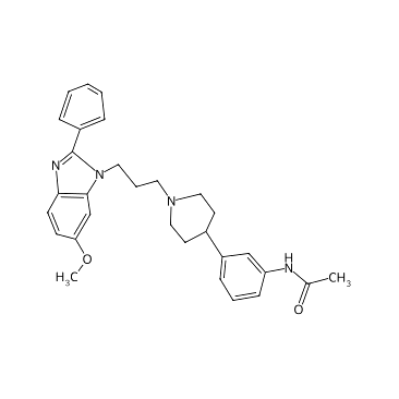 COc1ccc2nc(-c3ccccc3)n(CCCN3CCC(c4cccc(NC(C)=O)c4)CC3)c2c1